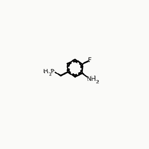 Nc1cc(CP)ccc1F